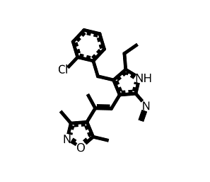 C=Nc1[nH]c(CC)c(Cc2ccccc2Cl)c1/C=C(\C)c1c(C)noc1C